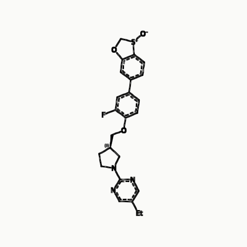 CCc1cnc(N2CC[C@@H](COc3ccc(-c4ccc5c(c4)OC[S+]5[O-])cc3F)C2)nc1